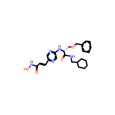 O=C(/C=C/c1cnc(N[C@H](COCc2ccccc2)C(=O)NCC2CCCCC2)cn1)NO